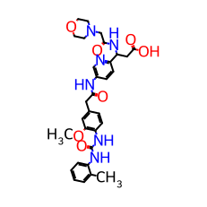 COc1cc(CC(=O)Nc2ccc(C(CC(=O)O)NC(=O)CN3CCOCC3)nc2)ccc1NC(=O)Nc1ccccc1C